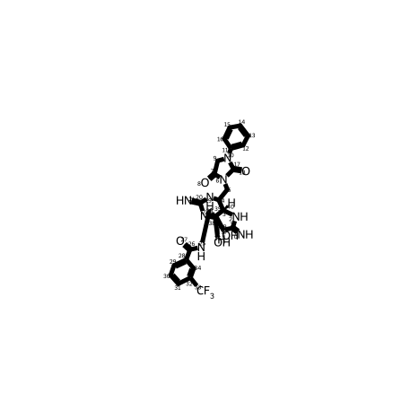 N=C1N[C@H]2C(CN3C(=O)CN(c4ccccc4)C3=O)NC(=N)N3CC(NC(=O)c4cccc(C(F)(F)F)c4)C(O)(O)[C@]23N1